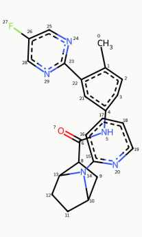 Cc1ccc(NC(=O)C2CC3CCC2N3c2ccccn2)cc1-c1ncc(F)cn1